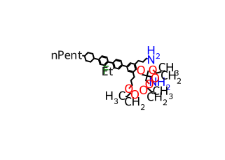 C=C(C)C(=O)OCCCc1cc(-c2ccc(-c3ccc(C4CCC(CCCCC)CC4)cc3F)c(CC)c2)cc(CCCN)c1OCC(CN)(COC(=O)C(=C)C)COC(=O)C(=C)C